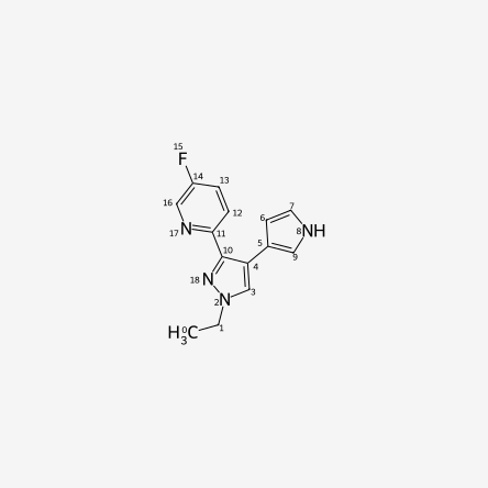 CCn1cc(-c2cc[nH]c2)c(-c2ccc(F)cn2)n1